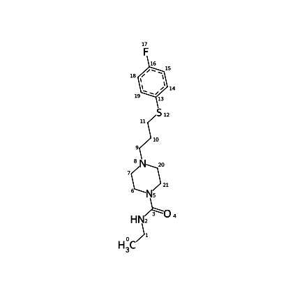 CCNC(=O)N1CCN(CCCSc2ccc(F)cc2)CC1